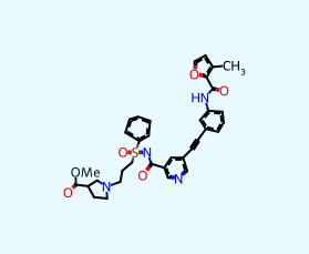 COC(=O)C1CCN(CCCS(=O)(=NC(=O)c2cncc(C#Cc3cccc(NC(=O)c4occc4C)c3)c2)c2ccccc2)C1